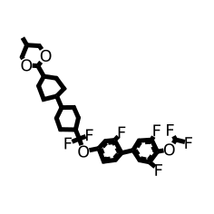 CC1COC(C2CCC(C3CCC(C(F)(F)Oc4ccc(-c5cc(F)c(OC(F)F)c(F)c5)c(F)c4)CC3)CC2)OC1